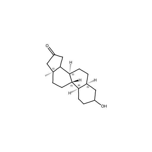 C[C@@]12CC[C@H]3[C@@H]4CCC(O)C[C@@H]4CC[C@@H]3C1CC(=O)C2